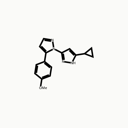 COc1ccc(-c2ccnn2-c2cc(C3CC3)[nH]n2)cc1